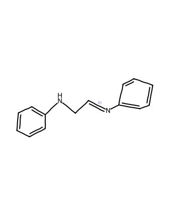 C(/CNc1ccccc1)=N\c1ccccc1